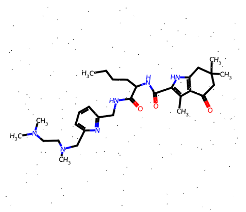 CCCCC(NC(=O)c1[nH]c2c(c1C)C(=O)CC(C)(C)C2)C(=O)NCc1cccc(CN(C)CCN(C)C)n1